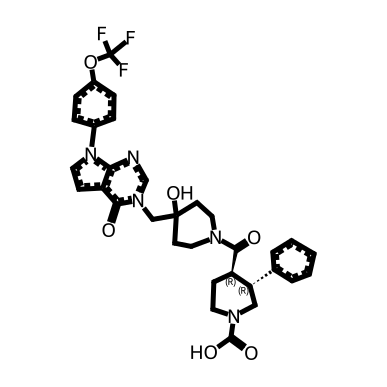 O=C(O)N1CC[C@@H](C(=O)N2CCC(O)(Cn3cnc4c(ccn4-c4ccc(OC(F)(F)F)cc4)c3=O)CC2)[C@H](c2ccccc2)C1